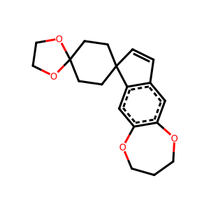 C1=CC2(CCC3(CC2)OCCO3)c2cc3c(cc21)OCCCO3